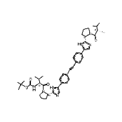 CC(C)[C@H](C)C(=O)N1CCC[C@H]1c1ncc(-c2ccc(C#Cc3ccc(-c4cnc([C@@H]5CCCN5C(=O)[C@@H](NC(=O)OC(C)(C)C)C(C)C)[nH]4)cc3)cc2)[nH]1